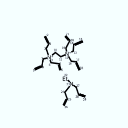 C=CC[N+](CC=C)(CC=C)CC[N+](CC=C)(CC=C)CC=C.[CH2]CN(CC=C)CC=C